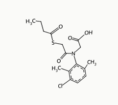 CCCC(=O)SCC(=O)N(CC(=O)O)c1c(C)ccc(Cl)c1C